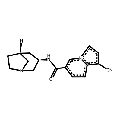 N#Cc1ccn2cc(C(=O)N[C@@H]3C[C@H]4CCN(C4)C3)ccc12